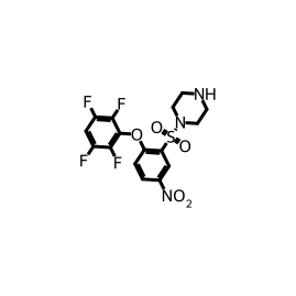 O=[N+]([O-])c1ccc(Oc2c(F)c(F)cc(F)c2F)c(S(=O)(=O)N2CCNCC2)c1